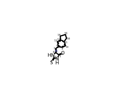 O=C1NC(=S)N/C1=C/c1ccc2c(c1)CCC2